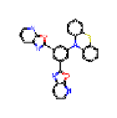 C1=C=Nc2oc(-c3cc(-c4nc5cccnc5o4)cc(N4c5ccccc5Sc5ccccc54)c3)nc2C=1